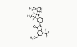 C=Cc1cc2c(c(C(F)(F)F)c1)CN(c1cccc([C@](C)(F)C(F)(F)c3nncn3C)c1)C2=O